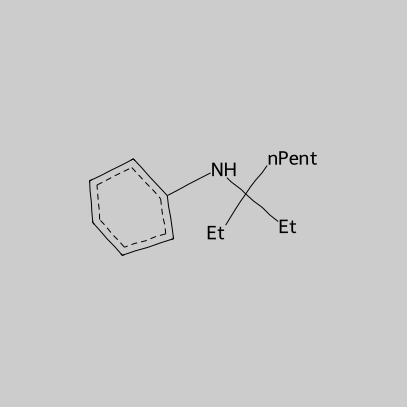 CCCCCC(CC)(CC)Nc1ccccc1